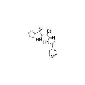 CCC(C(=N)C(=O)C1CCCC1)c1ncc(-c2ccncc2)[nH]1